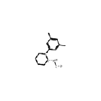 Cc1cc(C)cc(N2CCCC[C@H]2NC=O)c1